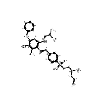 Cc1c(C#N)c(Nc2ccccc2)nc(NCC(C)O)c1/N=N/c1ccc(S(=O)(=O)CCN(CCO)C(C)(C)C)cc1